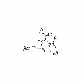 CC(=O)C1CCN(C(C(=O)C2CC2)c2ccccc2F)C(=S)C1